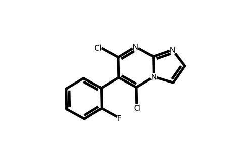 Fc1ccccc1-c1c(Cl)nc2nccn2c1Cl